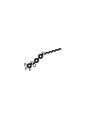 CCCCCCCCCCCOc1ccc(-c2ccc(C(=O)Oc3cc(F)c(F)c(F)c3)cc2)cc1